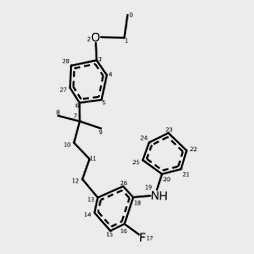 CCOc1ccc(C(C)(C)CCCc2ccc(F)c(Nc3ccccc3)c2)cc1